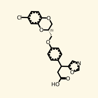 O=C(O)CC(c1ccc(OC[C@H]2COc3ccc(Cl)cc3O2)cc1)c1cnco1